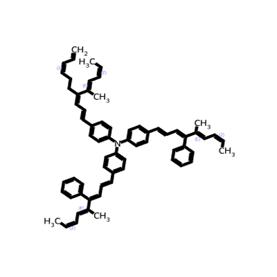 C=C/C=C\CCC(=CC=Cc1ccc(N(c2ccc(C=CC=C(/C(C)=C/C=C\C)c3ccccc3)cc2)c2ccc(C=CC=C(/C(C)=C/C=C\C)c3ccccc3)cc2)cc1)/C(C)=C/C=C\C